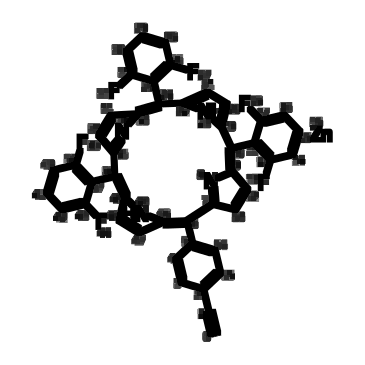 C#Cc1ccc(-c2c3nc(c(-c4c(F)cccc4F)c4ccc([nH]4)c(-c4c(F)cccc4F)c4nc(c(-c5c(F)cccc5F)c5ccc2[nH]5)C=C4)C=C3)cc1.[Zn]